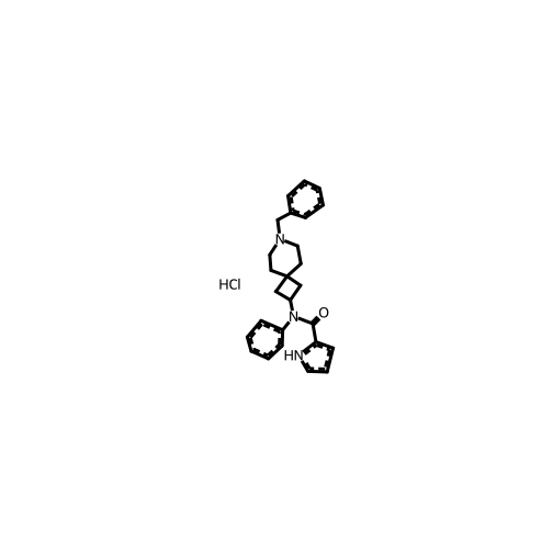 Cl.O=C(c1ccc[nH]1)N(c1ccccc1)C1CC2(CCN(Cc3ccccc3)CC2)C1